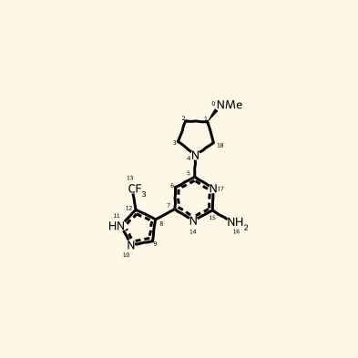 CN[C@@H]1CCN(c2cc(-c3cn[nH]c3C(F)(F)F)nc(N)n2)C1